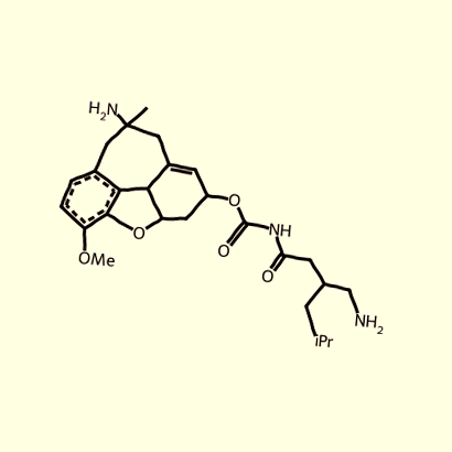 COc1ccc2c3c1OC1CC(OC(=O)NC(=O)CC(CN)CC(C)C)C=C(CC(C)(N)C2)C31